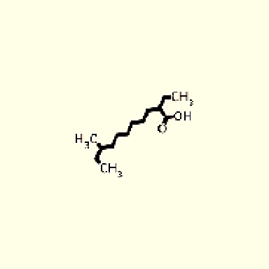 CCC(C)CCCCCCC(CC)C(=O)O